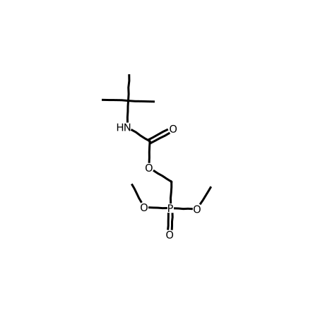 COP(=O)(COC(=O)NC(C)(C)C)OC